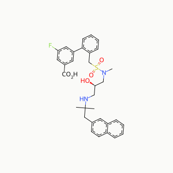 CN(C[C@H](O)CNC(C)(C)Cc1ccc2ccccc2c1)S(=O)(=O)Cc1ccccc1-c1cc(F)cc(C(=O)O)c1